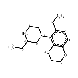 CCc1ccc2c(c1N1CCNC(CC)C1)OCCO2